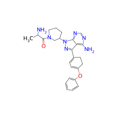 CC(N)C(=O)N1CCCC(n2nc(C3=CC=C(Oc4ccccc4)CC3)c3c(N)ncnc32)C1